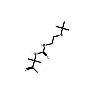 CC(=O)C(C)(C)NC(=O)NCCNC(C)(C)C